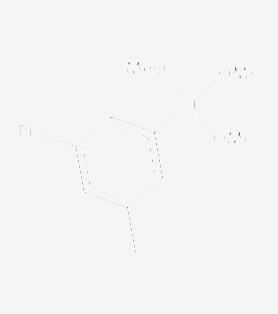 CO[Si](OC)(OC)c1cc(C)cc(Br)c1